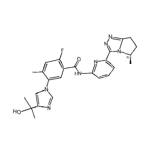 Cc1cc(F)c(C(=O)Nc2cccc(-c3nnc4n3[C@H](C)CC4)n2)cc1-n1cnc(C(C)(C)O)c1